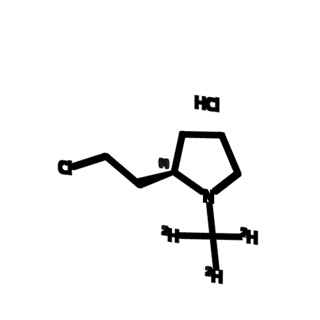 Cl.[2H]C([2H])([2H])N1CCC[C@@H]1CCCl